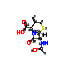 C=C1CS[C@H]2[C@H](NC(C)=O)C(=O)N2C1C(=O)O